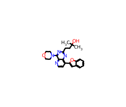 CC(C)(O)CCc1nc(N2CCOCC2)c2nccc(-c3cc4ccccc4o3)c2n1